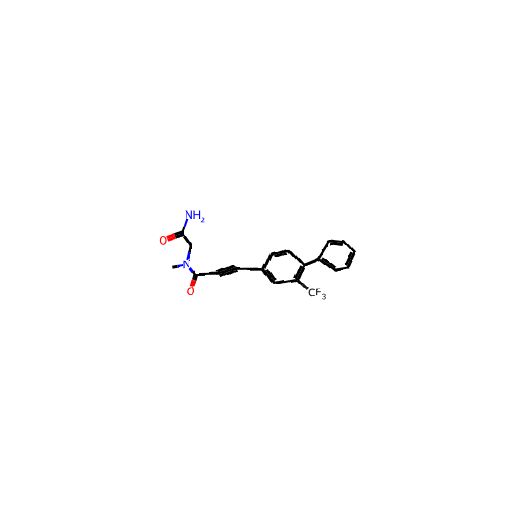 CN(CC(N)=O)C(=O)C#Cc1ccc(-c2ccccc2)c(C(F)(F)F)c1